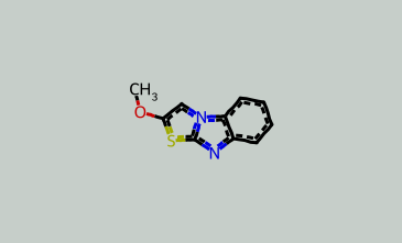 COc1cn2c(nc3ccccc32)s1